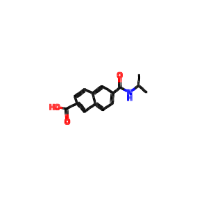 CC(C)NC(=O)c1ccc2cc(C(=O)O)ccc2c1